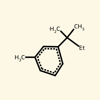 [CH2]C(C)(CC)c1cccc(C)c1